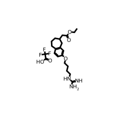 CCOC(=O)CC1CCCc2ccc(OCCCCNC(=N)N)cc2C1.O=C(O)C(F)(F)F